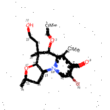 COCOC1c2c(OC)c(=O)c(Br)cn2C2CC(C)OC2C1(C)CCO